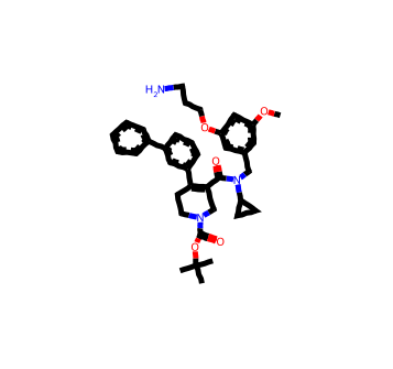 COc1cc(CN(C(=O)C2=C(c3cccc(-c4ccccc4)c3)CCN(C(=O)OC(C)(C)C)C2)C2CC2)cc(OCCCN)c1